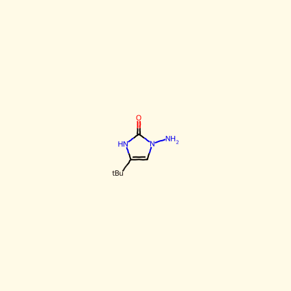 CC(C)(C)c1cn(N)c(=O)[nH]1